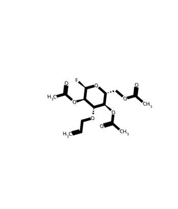 C=CCO[C@@H]1[C@@H](OC(C)=O)[C@@H](F)O[C@H](COC(C)=O)[C@H]1OC(C)=O